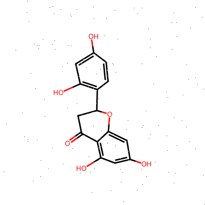 O=C1CC(c2ccc(O)cc2O)Oc2cc(O)cc(O)c21